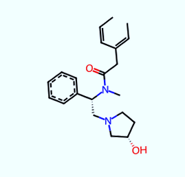 C/C=C\C(=C/C)CC(=O)N(C)[C@H](CN1CC[C@H](O)C1)c1ccccc1